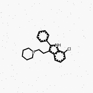 Clc1cccc2c(CCN3CCCCC3)c(-c3ccccc3)[nH]c12